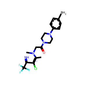 Bc1ccc(N2CCN(C(=O)CN(C)/C(C)=C(/Cl)C(=N)C(F)(F)F)CC2)cc1